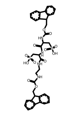 O=C(NCCNC(=O)C(CS(=O)(=O)O)NC(=O)C(CS(=O)(=O)O)NC(=O)OCC1c2ccccc2-c2ccccc21)OCC1c2ccccc2-c2ccccc21